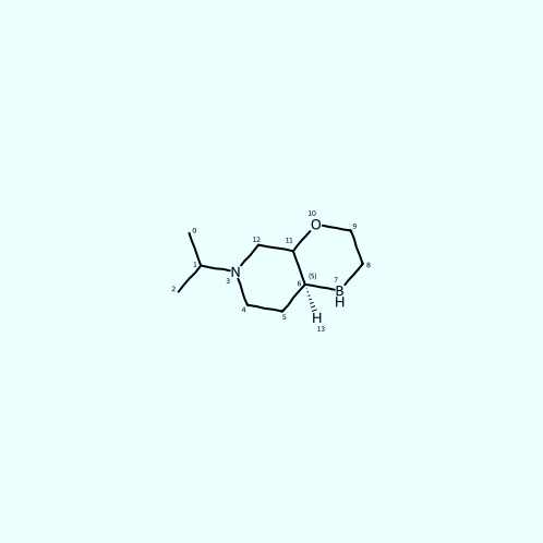 CC(C)N1CC[C@@H]2BCCOC2C1